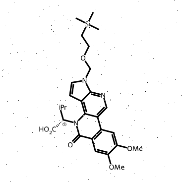 COc1cc2c(=O)n([C@H](C(=O)O)C(C)C)c3c(cnc4c3ccn4COCC[Si](C)(C)C)c2cc1OC